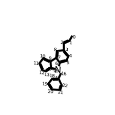 C/C=C/c1ccc2c(c1)c1ccccc1n2Cc1ccccc1